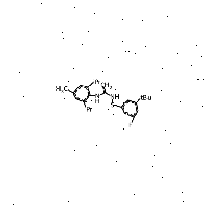 C=C(NSc1cc(F)cc(C(C)(C)C)c1)Nc1c(C(C)C)cc(C)cc1C(C)C